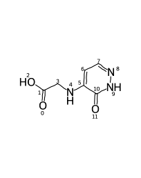 O=C(O)CNc1ccn[nH]c1=O